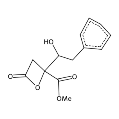 COC(=O)C1(C(O)Cc2ccccc2)CC(=O)O1